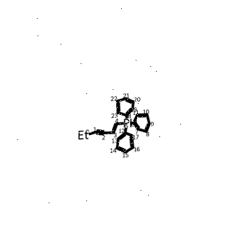 CCC#CC=C[PH](c1ccccc1)(c1ccccc1)c1ccccc1